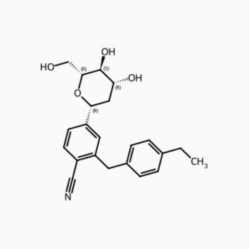 CCc1ccc(Cc2cc([C@H]3C[C@@H](O)[C@H](O)[C@@H](CO)O3)ccc2C#N)cc1